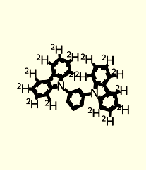 [2H]c1c([2H])c([2H])c2c(c1[2H])c1c([2H])c([2H])c([2H])c([2H])c1n2-c1cccc(-n2c3c([2H])c([2H])c([2H])c([2H])c3c3c([2H])c([2H])c([2H])c([2H])c32)c1